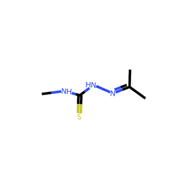 CNC(=S)NN=C(C)C